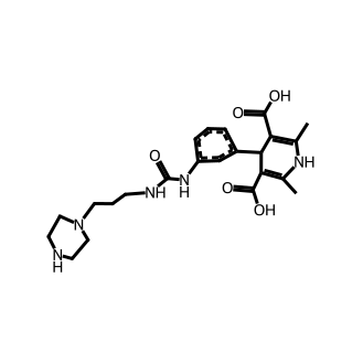 CC1=C(C(=O)O)C(c2cccc(NC(=O)NCCCN3CCNCC3)c2)C(C(=O)O)=C(C)N1